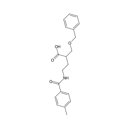 Cc1ccc(C(=O)NCCC(COCc2ccccc2)C(=O)O)cc1